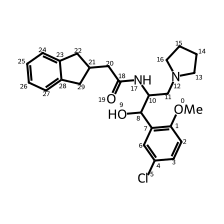 COc1ccc(Cl)cc1C(O)C(CN1CCCC1)NC(=O)CC1Cc2ccccc2C1